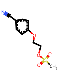 CS(=O)(=O)OCCOc1ccc(C#N)cc1